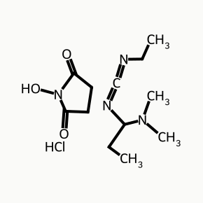 CCN=C=NC(CC)N(C)C.Cl.O=C1CCC(=O)N1O